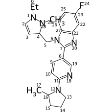 CCN1C=CC(Cn2c(-c3ccc(N4CCCC4C)nc3)nc3cc(F)ccc32)N1C